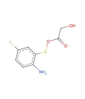 Nc1ccc(F)cc1SOC(=O)CO